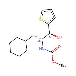 CC(C)(C)OC(=O)N[C@H](CC1CCCCC1)[C@H](O)c1cccs1